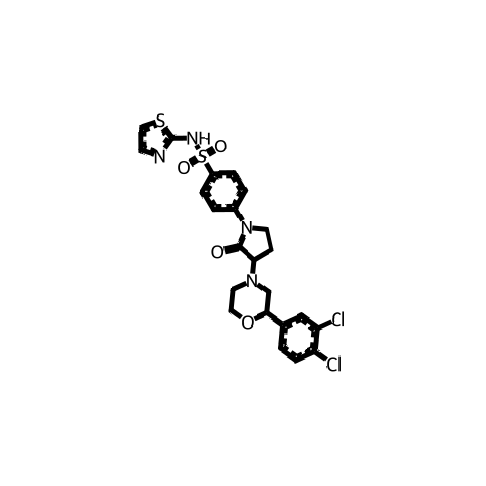 O=C1C(N2CCOC(c3ccc(Cl)c(Cl)c3)C2)CCN1c1ccc(S(=O)(=O)Nc2nccs2)cc1